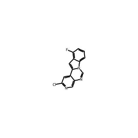 Fc1cccc2c1cc1c3cc(Cl)ncc3ncn21